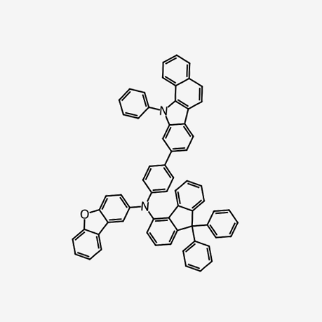 c1ccc(-n2c3cc(-c4ccc(N(c5ccc6oc7ccccc7c6c5)c5cccc6c5-c5ccccc5C6(c5ccccc5)c5ccccc5)cc4)ccc3c3ccc4ccccc4c32)cc1